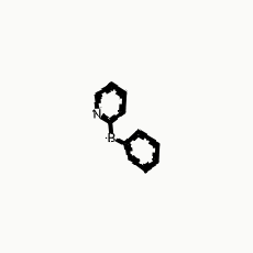 [B](c1ccccc1)c1ccccn1